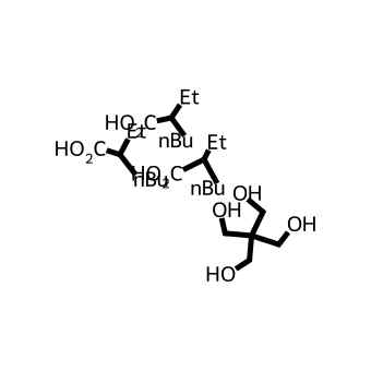 CCCCC(CC)C(=O)O.CCCCC(CC)C(=O)O.CCCCC(CC)C(=O)O.OCC(CO)(CO)CO